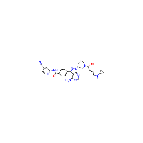 CN(C/C=C/C(O)N1CCC[C@@H](n2nc(-c3ccc(C(=O)Nc4cc(C#N)ccn4)cc3)c3c(N)ncnc32)C1)C1CC1